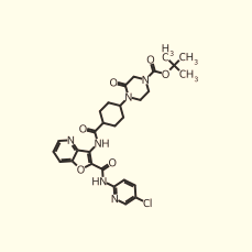 CC(C)(C)OC(=O)N1CCN(C2CCC(C(=O)Nc3c(C(=O)Nc4ccc(Cl)cn4)oc4cccnc34)CC2)C(=O)C1